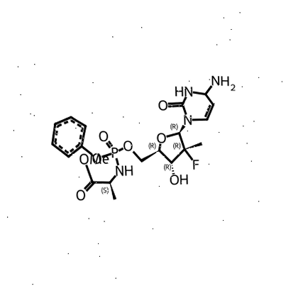 COC(=O)[C@H](C)NP(=O)(OC[C@H]1O[C@@H](N2C=CC(N)NC2=O)[C@](C)(F)[C@@H]1O)Oc1ccccc1